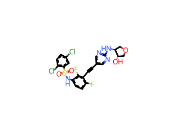 O=S(=O)(Nc1ccc(F)c(C#Cc2cnc(N[C@H]3COC[C@@H]3O)nc2)c1F)c1cc(Cl)ccc1Cl